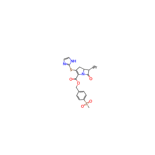 CC(C)C1C(=O)N2C(C(=O)OCc3ccc(S(C)(=O)=O)cc3)=C(Sc3ncc[nH]3)CC12